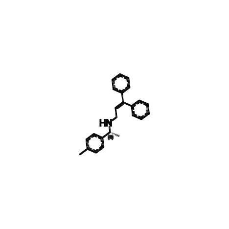 Cc1ccc([C@@H](C)NCC=C(c2ccccc2)c2ccccc2)cc1